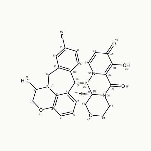 CC1COc2cccc3c2N1Cc1cc(F)ccc1[C@@H]3N1[C@@H]2COCCN2C(=O)c2c(O)c(=O)ccn21